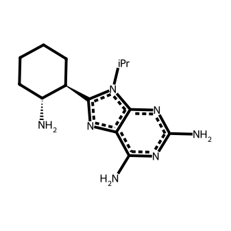 CC(C)n1c([C@@H]2CCCC[C@H]2N)nc2c(N)nc(N)nc21